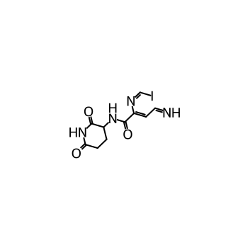 N=C/C=C(\N=C/I)C(=O)NC1CCC(=O)NC1=O